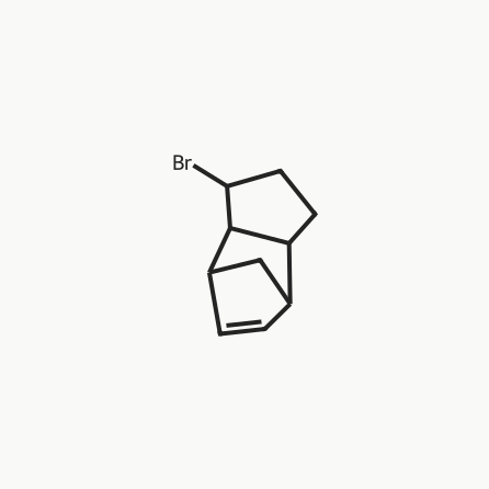 BrC1CCC2C3C=CC(C3)C12